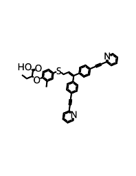 CCC(Oc1ccc(SCC=C(c2ccc(C#Cc3ccccn3)cc2)c2ccc(C#Cc3ccccn3)cc2)cc1C)C(=O)O